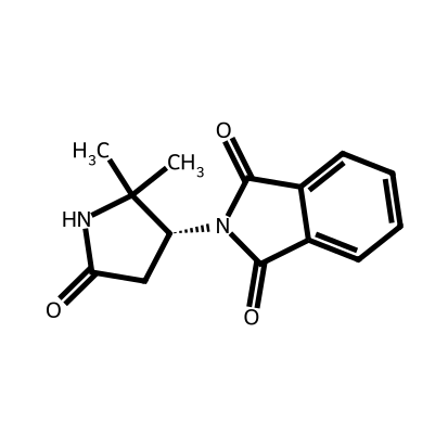 CC1(C)NC(=O)C[C@H]1N1C(=O)c2ccccc2C1=O